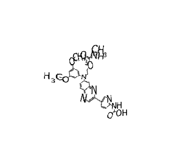 CNC(=O)OCCN(c1cc(OC)cc(OC)c1)c1ccc2ncc(-c3ccc(NC(=O)O)nc3)nc2c1